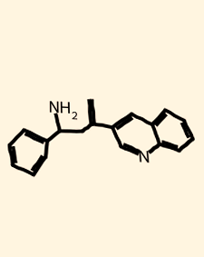 C=C(CC(N)c1ccccc1)c1cnc2ccccc2c1